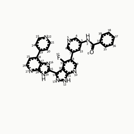 O=C(Nc1cncc(-c2cnc3[nH]nc(-c4nc5c(-c6ccncc6)ccnc5[nH]4)c3c2F)c1)c1ccccc1